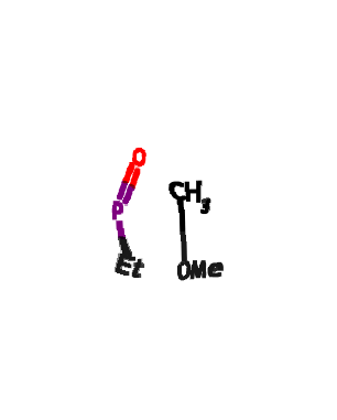 CCP=O.COC